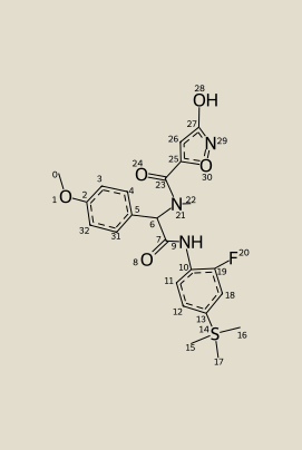 COc1ccc(C(C(=O)Nc2ccc(S(C)(C)C)cc2F)N(C)C(=O)c2cc(O)no2)cc1